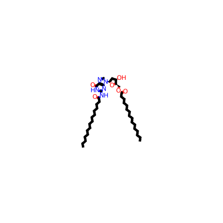 CCCCCCCCCCCCCCCC(=O)Nc1nc2c(ncn2[C@H]2C[C@H](O)[C@@H](COC(=O)CCCCCCCCCCCCCCC)O2)c(=O)[nH]1